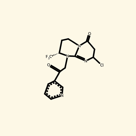 O=C(CN1C2=NC(Cl)CC(=O)N2CC[C@H]1C(F)(F)F)c1cccnc1